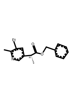 CCc1cc([C@@H](C)C(=O)OCc2ccccc2)cnc1C